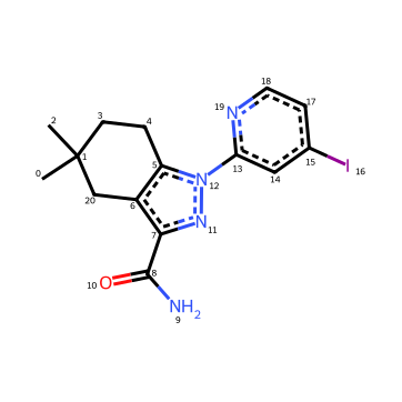 CC1(C)CCc2c(c(C(N)=O)nn2-c2cc(I)ccn2)C1